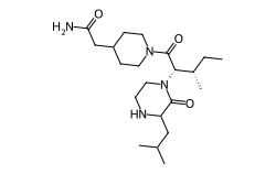 CC[C@H](C)[C@@H](C(=O)N1CCC(CC(N)=O)CC1)N1CCNC(CC(C)C)C1=O